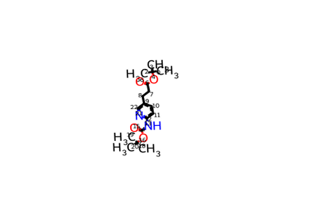 CC(C)(C)OC(=O)CCc1ccc(NC(=O)OC(C)(C)C)nc1